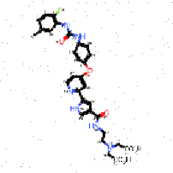 Cc1ccc(F)c(NC(=O)Nc2ccc(Oc3ccnc(-c4cc(C(=O)NCCN(CC(=O)O)CC(=O)O)c[nH]4)c3)cc2)c1